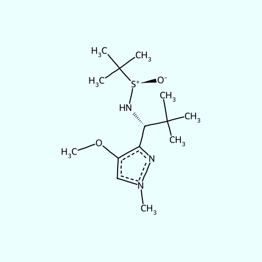 COc1cn(C)nc1[C@H](N[S@+]([O-])C(C)(C)C)C(C)(C)C